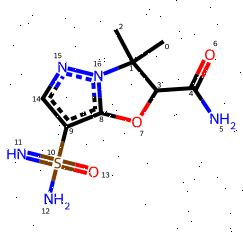 CC1(C)C(C(N)=O)Oc2c(S(=N)(N)=O)cnn21